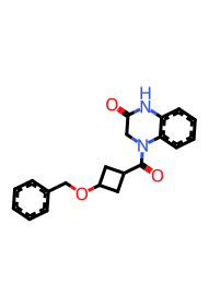 O=C1CN(C(=O)C2CC(OCc3ccccc3)C2)c2ccccc2N1